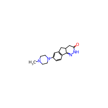 CN1CCN(c2ccc3c(c2)CC2CC(=O)NN=C32)CC1